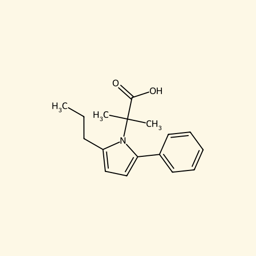 CCCc1ccc(-c2ccccc2)n1C(C)(C)C(=O)O